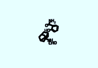 NC(=O)c1ccccc1O.O=CNC12CC3CC(CC(C3)C1)C2